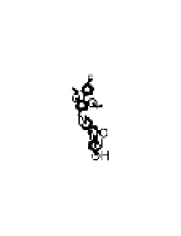 CCOc1cc(CN2CCC3(CC2)CC(=O)N(c2ccc(O)cn2)C3)cc(OCC)c1-c1ccc(F)cc1